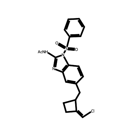 CC(=O)Nc1nc2cc(CC3CC/C3=C/Cl)ccc2n1S(=O)(=O)c1ccccc1